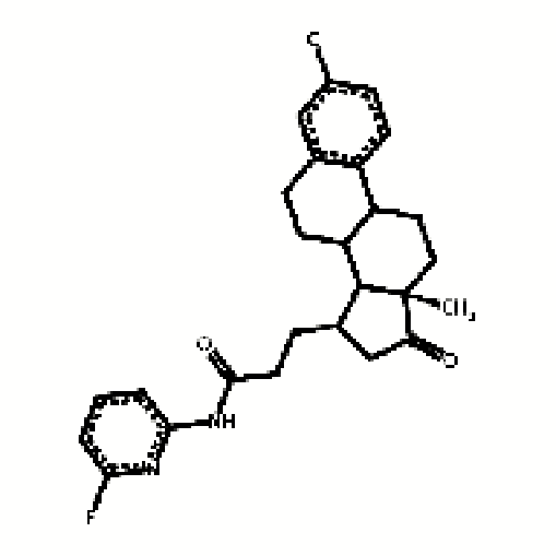 C[C@]12CCC3c4ccc(Cl)cc4CCC3C1[C@H](CCC(=O)Nc1cccc(F)n1)CC2=O